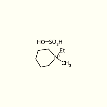 CC[N+]1(C)CCCCC1.O=S(=O)(O)O